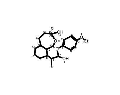 CCOc1ccc(OC(O)C(C)C2CCCC3CC[C@@](C)(O)OCC32)cc1